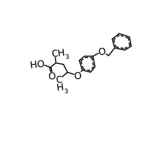 CC(CC(C)C(=O)O)Oc1ccc(OCc2ccccc2)cc1